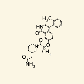 Cc1ccccc1-c1c[nH]c(=O)c2cc(O[C@H](C)C(=O)N3CCCC(CC(N)=O)C3)ccc12